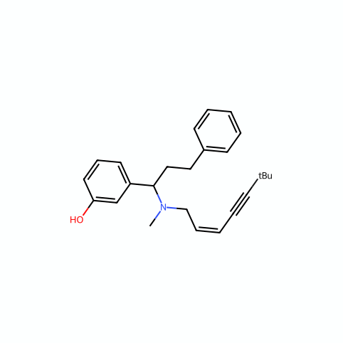 CN(C/C=C\C#CC(C)(C)C)C(CCc1ccccc1)c1cccc(O)c1